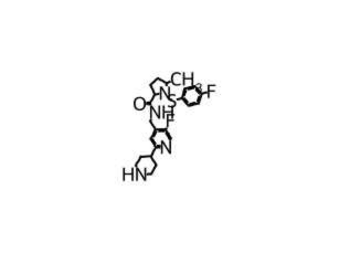 CC1CCC(C(=O)NCc2cc(C3CCNCC3)ncc2F)N1Sc1ccc(F)cc1